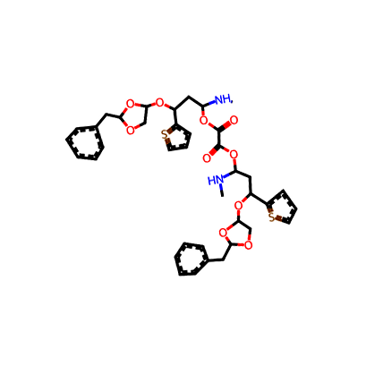 CNC(CC(OC1COC(Cc2ccccc2)O1)c1cccs1)OC(=O)C(=O)OC(CC(OC1COC(Cc2ccccc2)O1)c1cccs1)NC